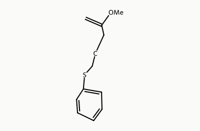 C=C(CCCSc1ccccc1)OC